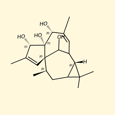 CC1=CC2C(O)[C@]3(C=C(C)[C@H](O)[C@@]3(O)[C@@H]1O)[C@H](C)CC1[C@H]2C1(C)C